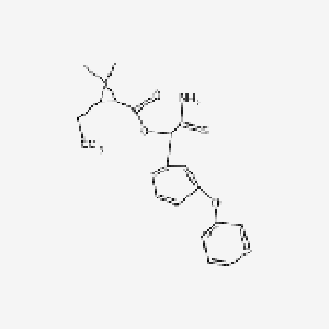 CC1(C)C(CC(Cl)(Cl)Cl)C1C(=O)OC(C(N)=S)c1cccc(Oc2ccccc2)c1